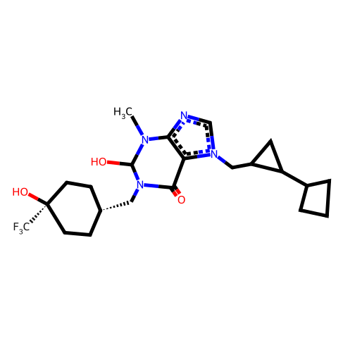 CN1c2ncn(CC3CC3C3CCC3)c2C(=O)N(C[C@H]2CC[C@@](O)(C(F)(F)F)CC2)C1O